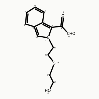 O=CC(=O)c1c2ccccc2cn1CCSCCO